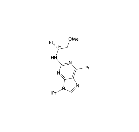 CC[C@H](COC)Nc1nc(C(C)C)c2ncn(C(C)C)c2n1